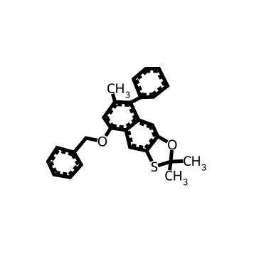 Cc1cc(OCc2ccccc2)c2cc3c(cc2c1-c1ccccc1)OC(C)(C)S3